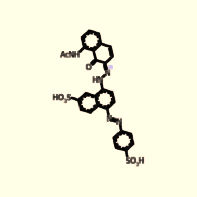 CC(=O)Nc1cccc2c1C(=O)/C(=N\Nc1ccc(N=Nc3ccc(S(=O)(=O)O)cc3)c3ccc(S(=O)(=O)O)cc13)C=C2